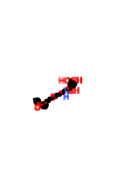 [O-][S+](c1cccc(CCCCOCCCCCCNC[C@H](O)c2ccc(O)c(CO)c2)c1)C1CCCC1